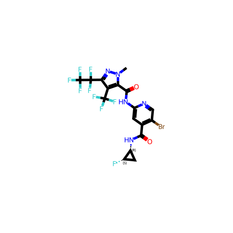 Cn1nc(C(F)(F)C(F)(F)F)c(C(F)(F)F)c1C(=O)Nc1cc(C(=O)N[C@@H]2C[C@@H]2F)c(Br)cn1